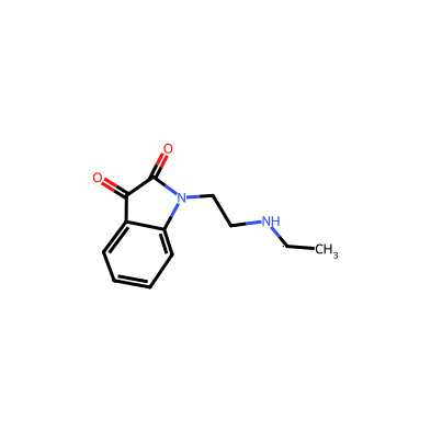 C[CH]NCCN1C(=O)C(=O)c2ccccc21